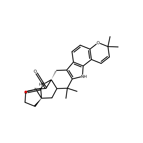 CC1(C)C=Cc2c(ccc3c4c([nH]c23)C(C)(C)C2C[C@]35CCCN3C(=O)[C@@]2(C4)NC5=O)O1